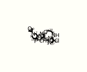 Cc1c2c(nn1C1CN(C3COC3)CCC1(F)F)OCCCNc1nc(ncc1Cl)N2